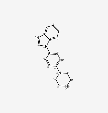 c1ccc2c(c1)ncn2-c1ccc(N2CCNCC2)nc1